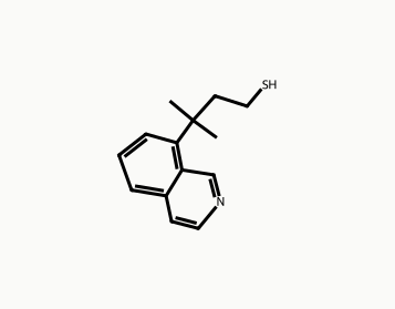 CC(C)(CCS)c1cccc2ccncc12